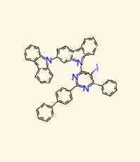 Ic1c(-c2ccccc2)nc(-c2ccc(-c3ccccc3)cc2)nc1-n1c2ccccc2c2ccc(-n3c4ccccc4c4ccccc43)cc21